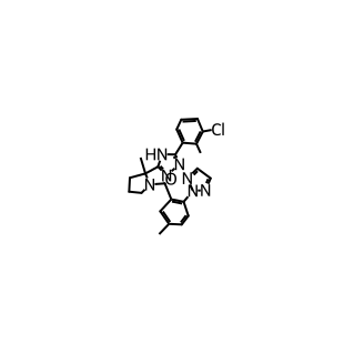 Cc1ccc(-n2nccn2)c(C(=O)N2CCCC2(C)c2nnc(-c3cccc(Cl)c3C)[nH]2)c1